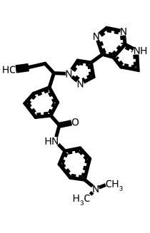 C#CCC(c1cccc(C(=O)Nc2ccc(N(C)C)cc2)c1)n1cc(-c2ncnc3[nH]ccc23)cn1